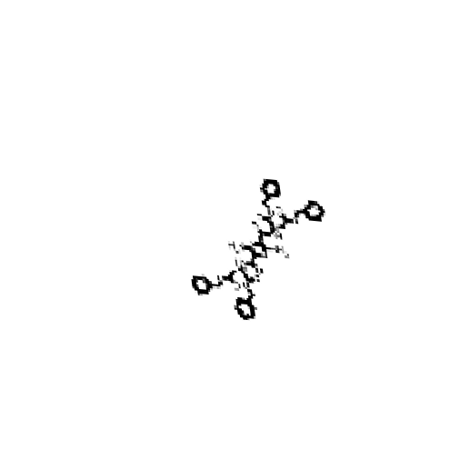 Nc1nc(C(=O)N[C@H](CC(=O)OCc2ccccc2)C(=O)OCc2ccccc2)c(N)nc1C(=O)N[C@H](CC(=O)OCc1ccccc1)C(=O)OCc1ccccc1